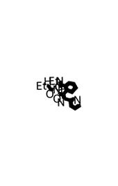 CCC(CC)C(=O)Nc1onc(-c2cccnc2)c1-c1ccccc1C(N)=O